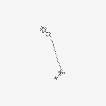 CC1(C)OB(c2ccc(CCCCCCCCCCCCCCCCCCOP(=O)(O)OCC[N+](C)(C)C)cc2)OC1(C)C